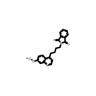 COc1ccc2c(CCCCN3C(=O)c4ccccc4C3=O)ccnc2c1